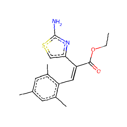 CCOC(=O)C(=Cc1c(C)cc(C)cc1C)c1csc(N)n1